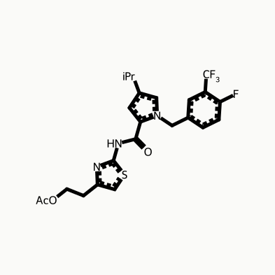 CC(=O)OCCc1csc(NC(=O)c2cc(C(C)C)cn2Cc2ccc(F)c(C(F)(F)F)c2)n1